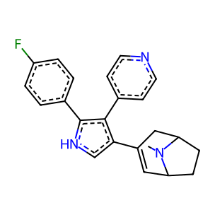 CN1C2C=C(c3c[nH]c(-c4ccc(F)cc4)c3-c3ccncc3)CC1CC2